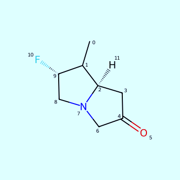 CC1[C@H]2CC(=O)CN2C[C@@H]1F